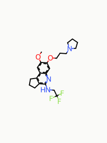 COc1cc2c3c(c(NCC(F)(F)F)nc2cc1OCCCN1CCCC1)CCC3